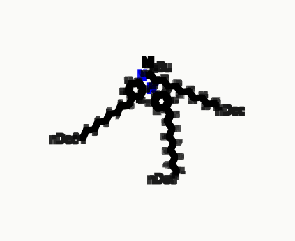 CCCCCCCCCCCCCCCCCC=Cc1ccc(N=C(CCCC)C(CCCCCCCCCCCCCCCCCCC)=Nc2ccc(C=CCCCCCCCCCCCCCCCCC)cc2)cc1.[Ni]